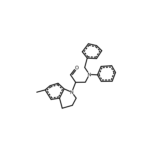 Cc1ccc2c(c1)CCCN2C(C=O)CN(Cc1ccccc1)c1ccccc1